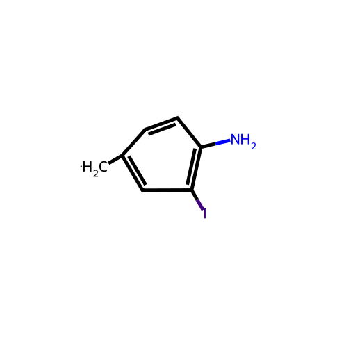 [CH2]c1ccc(N)c(I)c1